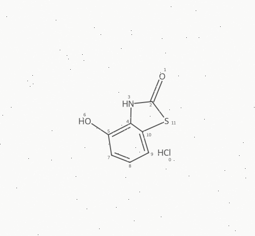 Cl.O=c1[nH]c2c(O)cccc2s1